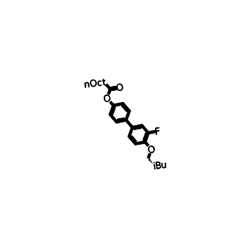 CCCCCCCCC(=O)Oc1ccc(-c2ccc(OC[C@@H](C)CC)c(F)c2)cc1